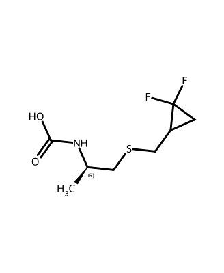 C[C@H](CSCC1CC1(F)F)NC(=O)O